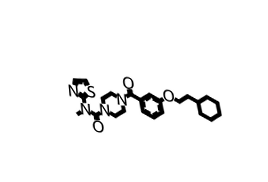 CN(C(=O)N1CCN(C(=O)c2cccc(OCCC3CCCCC3)c2)CC1)c1nccs1